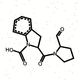 O=CC1CCCN1C(=O)C1Cc2ccccc2N1C(=O)O